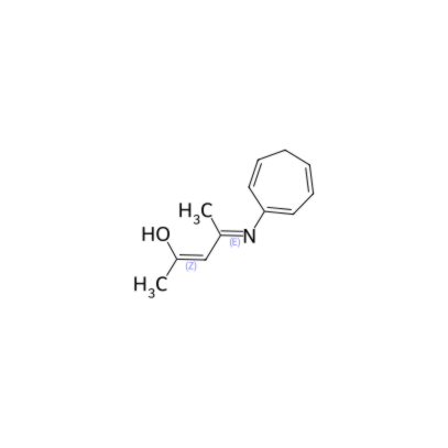 C/C(O)=C/C(C)=N/C1=CC=CCC=C1